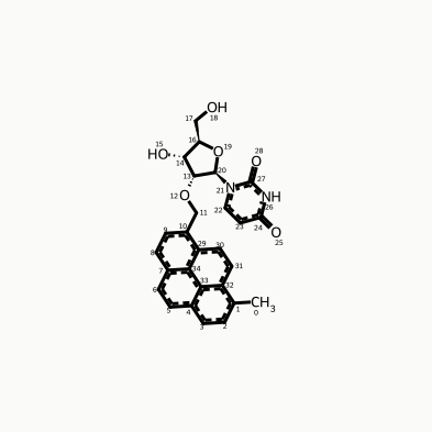 Cc1ccc2ccc3ccc(CO[C@@H]4[C@H](O)[C@@H](CO)O[C@H]4n4ccc(=O)[nH]c4=O)c4ccc1c2c34